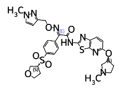 CN1CC[C@H](Oc2ccc3nc(NC(=O)/C(=N/OCc4ccn(C)n4)c4ccc(S(=O)(=O)[C@H]5CCOC5)cc4)sc3n2)C1